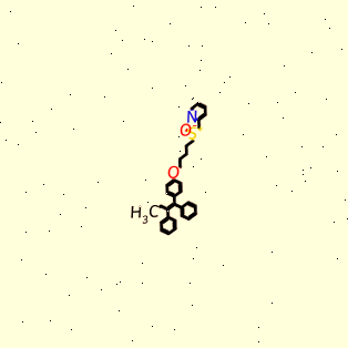 CCC(=C(c1ccccc1)c1ccc(OCCCCC[S+]([O-])Cc2ccccn2)cc1)c1ccccc1